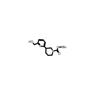 CC(C)(C)OC(=O)N1CCCC(c2cccc(CO)n2)C1